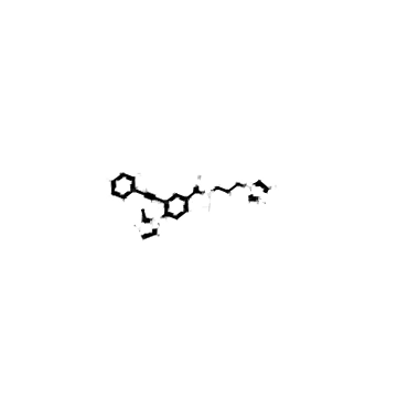 Cc1nccn1-c1ccc(C(=O)NCCCn2ccnc2)cc1C#Cc1ccccc1